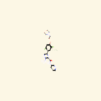 Cl.Cl.Nc1ncc(-c2cc(F)c(OCCN3CCOCC3)cc2F)nc1C(=O)Nc1cccnc1